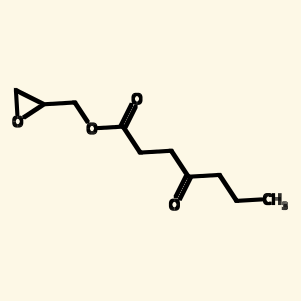 CCCC(=O)CCC(=O)OCC1CO1